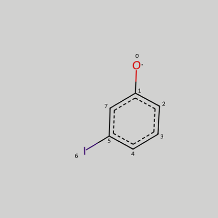 [O]c1cccc(I)c1